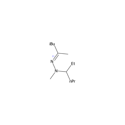 CCCC(CC)N(C)/N=C(\C)C(C)CC